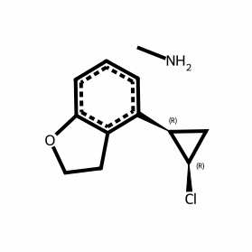 CN.Cl[C@@H]1C[C@@H]1c1cccc2c1CCO2